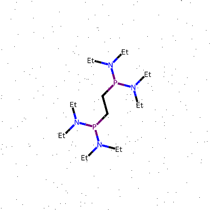 CCN(CC)P(CCP(N(CC)CC)N(CC)CC)N(CC)CC